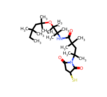 CCC(C)(C)CC(C)(C)OC(C)(C)C(C)(C)NC(=O)C(C)(C)CC(C)(C)N1C(=O)CC(S)C1=O